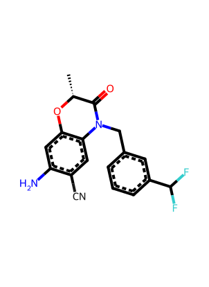 C[C@H]1Oc2cc(N)c(C#N)cc2N(Cc2cccc(C(F)F)c2)C1=O